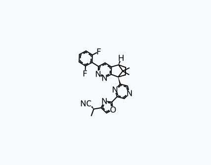 C[C@@H](C#N)c1coc(-c2cncc([C@@]34CC[C@@H](c5cc(-c6c(F)cccc6F)nnc53)C4(C)C)n2)n1